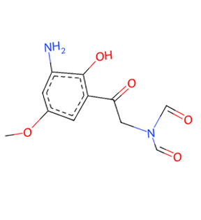 COc1cc(N)c(O)c(C(=O)CN(C=O)C=O)c1